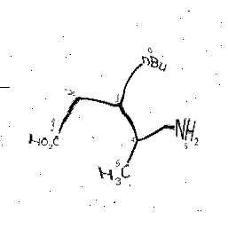 CCCCC(CC(=O)O)C(C)N